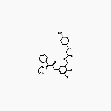 O=C(O)Cn1nc(C(=O)Nc2cc(Cl)c(F)c(CNC(=O)CN[C@H]3CC[C@@H](O)CC3)c2)c2ccccc21